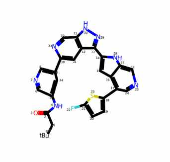 CC(C)(C)CC(=O)Nc1cncc(-c2cc3c(-c4cc5c(-c6ccc(F)s6)cncc5[nH]4)n[nH]c3cn2)c1